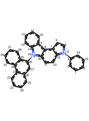 c1ccc(-n2ccc3c4c5ccccc5n(-c5cc6ccccc6c6ccccc56)c4ccc32)cc1